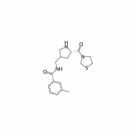 Cc1cccc(C(=O)NCC2CN[C@H](C(=O)N3CCSC3)C2)c1